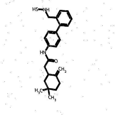 C=C1CCC(C)(C)CC1CC(=O)Nc1ccc(-c2ccccc2CNS)cc1